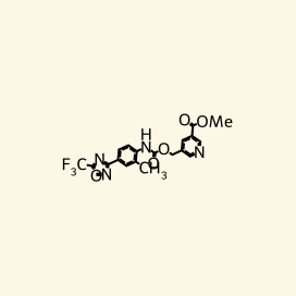 COC(=O)c1cncc(COC(=O)Nc2ccc(-c3noc(C(F)(F)F)n3)cc2C)c1